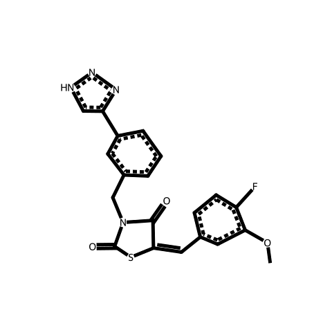 COc1cc(C=C2SC(=O)N(Cc3cccc(-c4c[nH]nn4)c3)C2=O)ccc1F